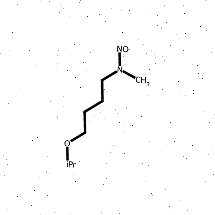 CC(C)OCCCCN(C)N=O